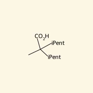 CCCC(C)C(C)(C(=O)O)C(C)CCC